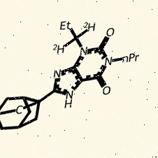 [2H]C([2H])(CC)n1c(=O)n(CCC)c(=O)c2[nH]c(C34CC5CC(CC3C5)C4)nc21